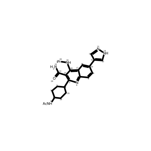 CC(=O)NC1CCC(c2nc3ccc(-c4cn[nH]c4)cc3c(NC(C)C)c2C(N)=O)CC1